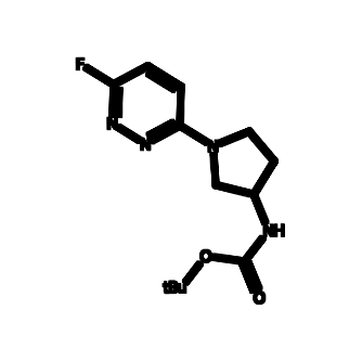 CC(C)(C)OC(=O)NC1CCN(c2ccc(F)nn2)C1